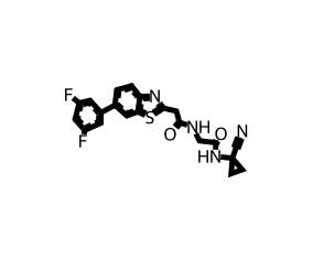 N#CC1(NC(=O)CNC(=O)Cc2nc3ccc(-c4cc(F)cc(F)c4)cc3s2)CC1